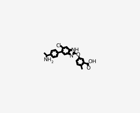 Cc1ccc(Oc2nc3cc(-c4ccc(C(C)N)cc4)c(Cl)cc3[nH]2)cc1C(=O)O